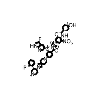 CC(C)c1ccccc1[C@@H]1CN(C)CC[C@@H]1N1CC2(CCN(c3ccc(C(=O)NS(=O)(=O)c4cc5c(c([N+](=O)[O-])c4)N[C@@H]([C@H]4CC[C@](C)(O)CC4)CO5)c(Oc4cnc5[nH]cc(F)c5c4)c3)CC2)C1